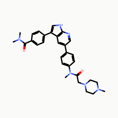 CN1CCN(CC(=O)N(C)c2ccc(-c3cnc4[nH]cc(-c5ccc(C(=O)N(C)C)cc5)c4c3)cc2)CC1